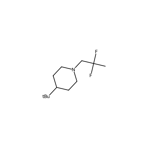 CC(F)(F)CN1CCC(C(C)(C)C)CC1